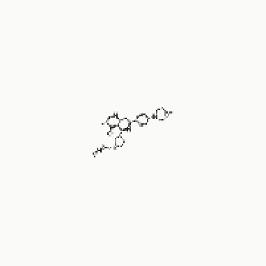 CN1CCN(c2ccc(-c3cc4ncn(C)c(=O)c4c(N4CC[C@H](CN=[N+]=[N-])C4)n3)cc2)CC1